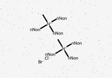 CCCCCCCCC[N+](C)(CCCCCCCCC)CCCCCCCCC.CCCCCCCCC[N+](C)(CCCCCCCCC)CCCCCCCCC.[Br-].[Cl-]